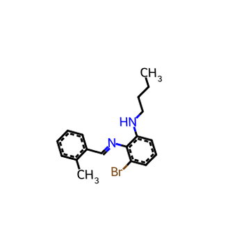 CCCCNc1cccc(Br)c1/N=C/c1ccccc1C